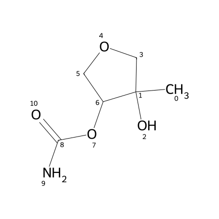 CC1(O)COCC1OC(N)=O